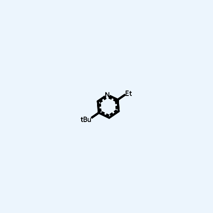 CCc1ccc(C(C)(C)C)cn1